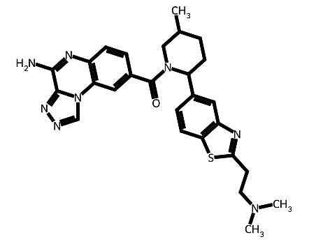 CC1CCC(c2ccc3sc(CCN(C)C)nc3c2)N(C(=O)c2ccc3nc(N)c4nncn4c3c2)C1